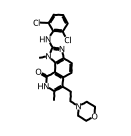 Cc1[nH]c(=O)c2c(ccc3nc(Nc4c(Cl)cccc4Cl)n(C)c32)c1CCN1CCOCC1